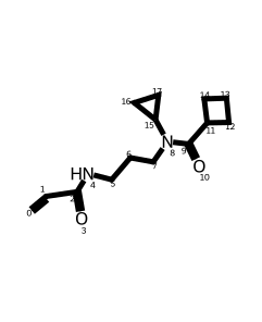 C=CC(=O)NCCCN(C(=O)C1CCC1)C1CC1